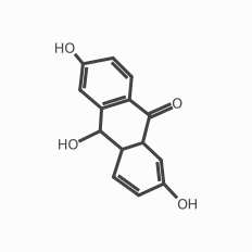 O=C1c2ccc(O)cc2C(O)C2C=CC(O)=CC12